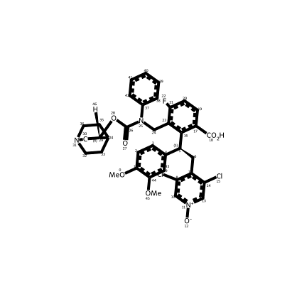 COc1ccc([C@H](Cc2c(Cl)c[n+]([O-])cc2Cl)c2c(C(=O)O)ccc(F)c2CN(C(=O)O[C@H]2CN3CCC2CC3)c2ccccc2)cc1OC